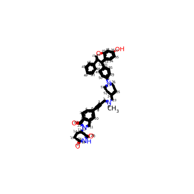 CN(CC#Cc1ccc2c(c1)CN(C1CCC(=O)NC1=O)C2=O)CC1CCN(c2ccc(C3c4ccc(O)cc4OCC3c3ccccc3)cc2)CC1